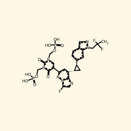 CC(F)(F)Cn1ncc2ccc([C@H]3C[C@@H]3c3cc(-c4cn(COP(=O)(O)O)c(=O)n(COP(=O)(O)O)c4=O)nn4c(F)cnc34)cc21